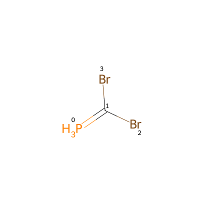 [PH3]=C(Br)Br